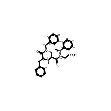 C[C@H](NC(Cc1ccccc1)C(=O)OCc1ccccc1)C(=O)N(CC(=O)O)N(C)c1ccccc1